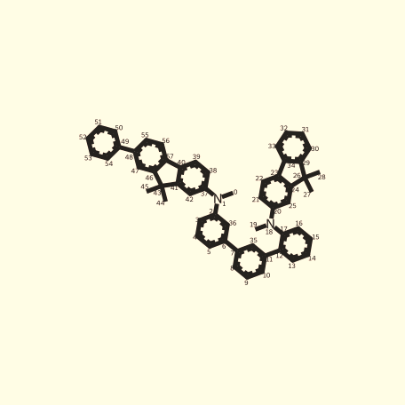 CN(c1cccc(-c2cccc(-c3ccccc3N(C)c3ccc4c(c3)C(C)(C)c3ccccc3-4)c2)c1)c1ccc2c(c1)C(C)(C)c1cc(-c3ccccc3)ccc1-2